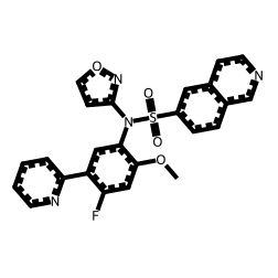 COc1cc(F)c(-c2ccccn2)cc1N(c1ccon1)S(=O)(=O)c1ccc2cnccc2c1